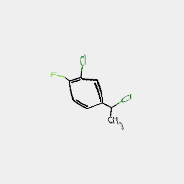 CC(Cl)c1ccc(F)c(Cl)c1